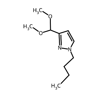 CCCCn1ccc(C(OC)OC)n1